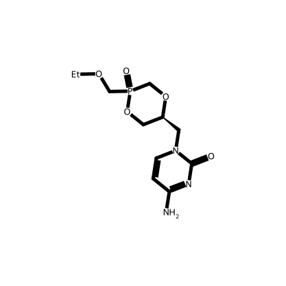 CCOCP1(=O)CO[C@@H](Cn2ccc(N)nc2=O)CO1